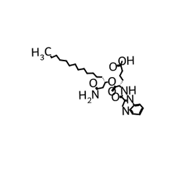 CCCCCCCCCCCCC[C@@H](CC(N)=O)OC(=O)[C@H](CCCC(=O)O)NC(=O)c1cnc2ccccc2n1